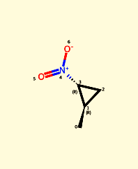 C[C@@H]1C[C@H]1[N+](=O)[O-]